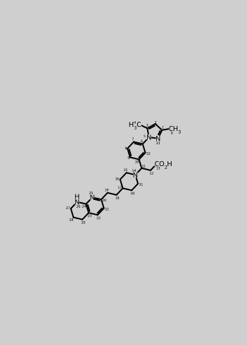 Cc1cc(C)n(-c2cccc(C(CC(=O)O)N3CCC(CCc4ccc5c(n4)NCCC5)CC3)c2)n1